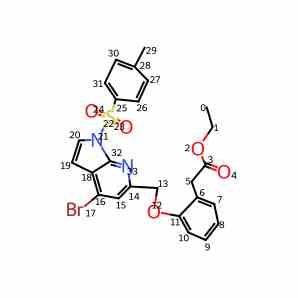 CCOC(=O)Cc1ccccc1OCc1cc(Br)c2ccn(S(=O)(=O)c3ccc(C)cc3)c2n1